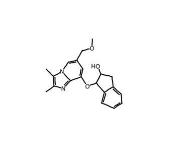 COCc1cc(OC2c3ccccc3CC2O)c2nc(C)c(C)n2c1